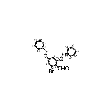 O=Cc1c(Br)cc(OCc2ccccc2)cc1OCc1ccccc1